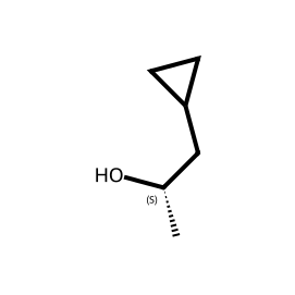 C[C@H](O)CC1CC1